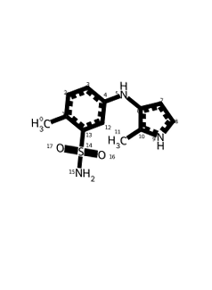 Cc1ccc(Nc2cc[nH]c2C)cc1S(N)(=O)=O